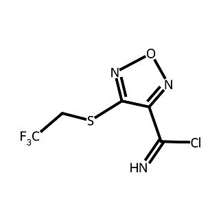 N=C(Cl)c1nonc1SCC(F)(F)F